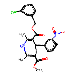 COC(=O)C1=C(C)NC(C)=C(C(=O)OCc2cccc(Cl)c2)C1c1cccc([N+](=O)[O-])c1